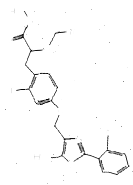 CCOC(Cc1ccc(OCc2nc(-c3ccccc3F)oc2C)cc1F)C(=O)OC